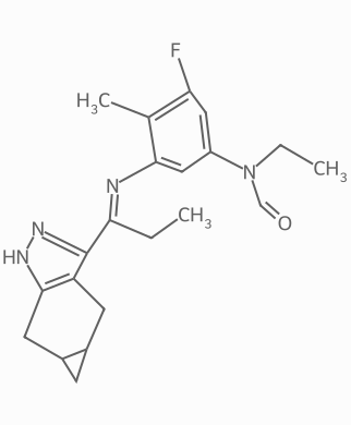 CC/C(=N\c1cc(N(C=O)CC)cc(F)c1C)c1n[nH]c2c1CC1CC1C2